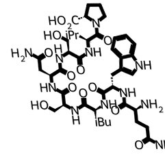 CC[C@H](C)[C@H](NC(=O)[C@H](Cc1c[nH]c2ccccc12)NC(=O)[C@@H](N)CCC(N)=O)C(=O)N[C@@H](CO)C(=O)N[C@@H](CC(N)=O)C(=O)N[C@@H](CO)C(=O)N[C@H](C(=O)N1CCC[C@H]1C(=O)O)C(C)C